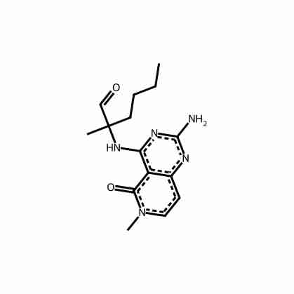 CCCCC(C)(C=O)Nc1nc(N)nc2ccn(C)c(=O)c12